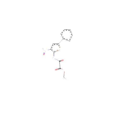 CCOC(=O)C(=O)Nc1sc(-c2ccccc2)cc1[N+](=O)[O-]